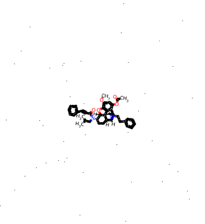 COc1cc(OC(C)=O)c2c3c1O[C@H]1[C@@H](N(CC(C)C)C(=O)C#Cc4ccccc4)CC[C@H]4[C@@H](C2)N(CCc2ccccc2)CC[C@@]341